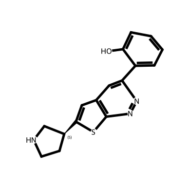 Oc1ccccc1-c1cc2cc([C@H]3CCNC3)sc2nn1